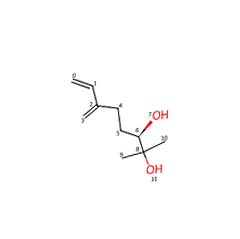 C=CC(=C)CC[C@@H](O)C(C)(C)O